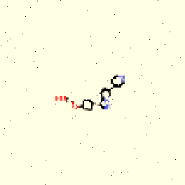 OCCOc1ccc(-c2cnn3cc(-c4ccncc4)ccc23)cc1